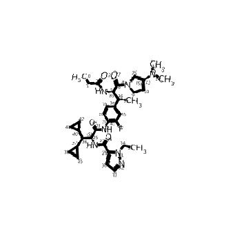 CCC(=O)N[C@@H](C(=O)N1CC[C@H](N(C)C)C1)[C@@H](C)c1ccc(NC(=O)[C@@H](NC(=O)c2ccnn2CC)C(C2CC2)C2CC2)c(F)c1